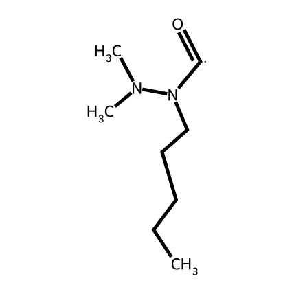 CCCCCN([C]=O)N(C)C